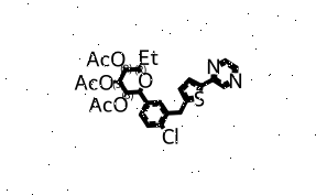 CC[C@H]1OC(c2ccc(Cl)c(Cc3ccc(-c4cnccn4)s3)c2)[C@H](OC(C)=O)[C@@H](OC(C)=O)[C@@H]1OC(C)=O